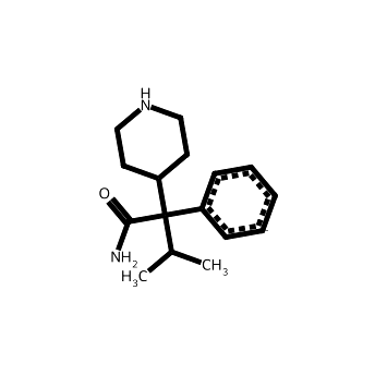 CC(C)C(C(N)=O)(c1c[c]ccc1)C1CCNCC1